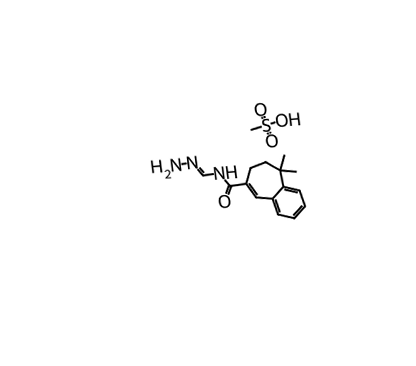 CC1(C)CCC(C(=O)NC=NN)=Cc2ccccc21.CS(=O)(=O)O